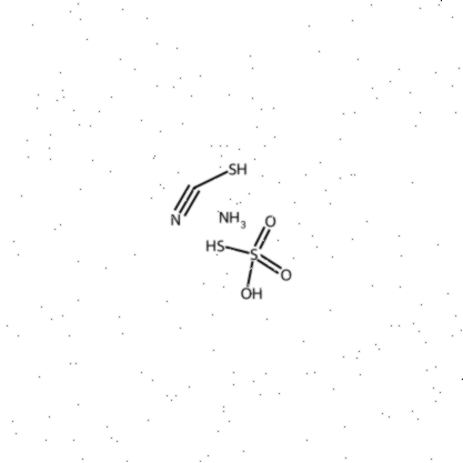 N.N#CS.O=S(=O)(O)S